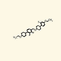 CCOc1ccc(C2CCC(OCc3ccc(C4CCC(OCC)CC4)c(F)c3F)CC2)c(F)c1